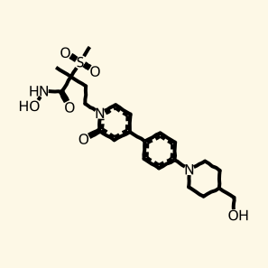 CC(CCn1ccc(-c2ccc(N3CCC(CO)CC3)cc2)cc1=O)(C(=O)NO)S(C)(=O)=O